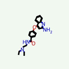 CCN(CC)CCNC(=O)c1ccc(Oc2cc(N)nc3ccccc23)cc1